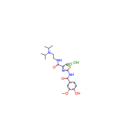 COc1cc(C(=O)Nc2nc(C(=O)NCCN(C(C)C)C(C)C)cs2)ccc1O.Cl.Cl